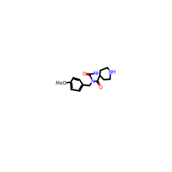 COc1ccc(CN2C(=O)NC3(CCNCC3)C2=O)cc1